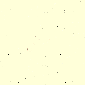 COc1ccc(OCC2(C(=O)CCNCc3ccccn3)NCCS2)cc1